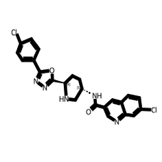 O=C(N[C@H]1CC[C@H](c2nnc(-c3ccc(Cl)cc3)o2)NC1)c1cnc2cc(Cl)ccc2c1